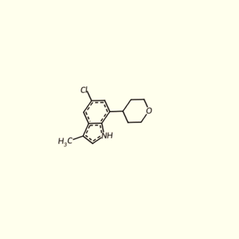 Cc1c[nH]c2c(C3CCOCC3)cc(Cl)cc12